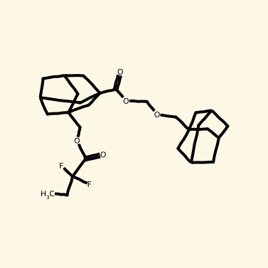 CCC(F)(F)C(=O)OCC12CC3CC(C1)CC(C(=O)OCOCC14CC5CC(CC(C5)C1)C4)(C3)C2